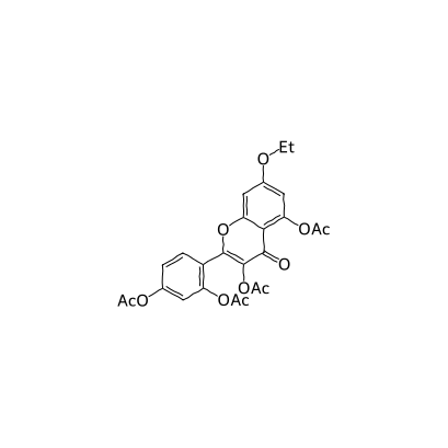 CCOc1cc(OC(C)=O)c2c(=O)c(OC(C)=O)c(-c3ccc(OC(C)=O)cc3OC(C)=O)oc2c1